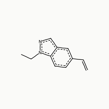 C=Cc1ccc2c(cnn2CC)c1